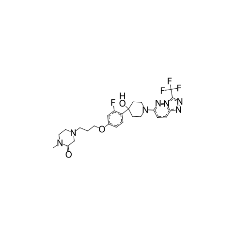 CN1CCN(CCCOc2ccc(C3(O)CCN(c4ccc5nnc(C(F)(F)F)n5n4)CC3)c(F)c2)CC1=O